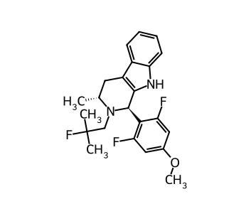 COc1cc(F)c([C@@H]2c3[nH]c4ccccc4c3C[C@@H](C)N2CC(C)(C)F)c(F)c1